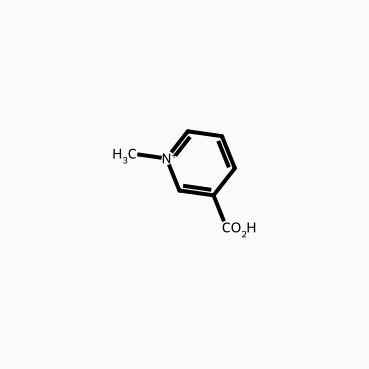 C[n+]1cccc(C(=O)O)c1